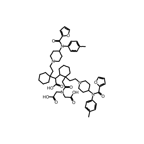 Cc1ccc(N(C(=O)c2ccco2)C2CCN(CCC3(CC(=O)N(CC(=O)O)CC(=O)O)CCCCC3C(C(=O)O)C3(CCN4CCC(N(C(=O)c5ccco5)c5ccc(C)cc5)CC4)CCCCC3)CC2)cc1